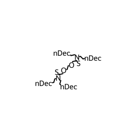 CCCCCCCCCCCCN(CCCCCCCCCCCC)C(=S)COCCOCC(=S)N(CCCCCCCCCCCC)CCCCCCCCCCCC